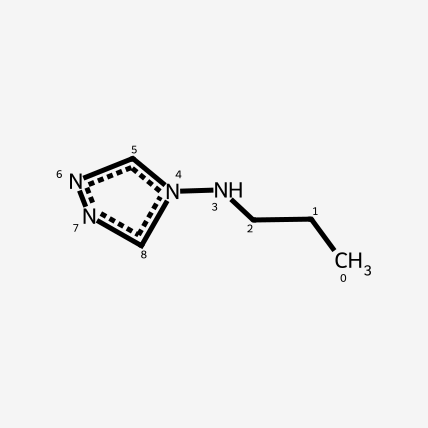 CCCNn1cnnc1